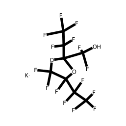 OC(F)(F)C1(C(F)(F)C(F)(F)F)OC(F)(F)C(F)(C(F)(F)C(F)(F)F)O1.[K]